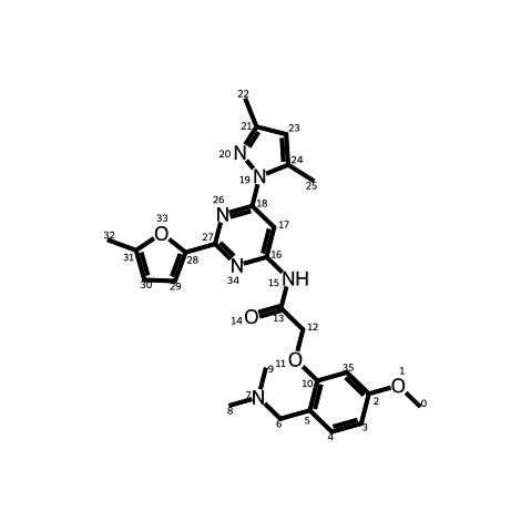 COc1ccc(CN(C)C)c(OCC(=O)Nc2cc(-n3nc(C)cc3C)nc(-c3ccc(C)o3)n2)c1